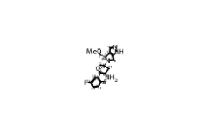 COC[C@H]1c2cn[nH]c2CN1[C@H]1CO[C@H](c2cc(F)ccc2F)[C@@H](N)C1